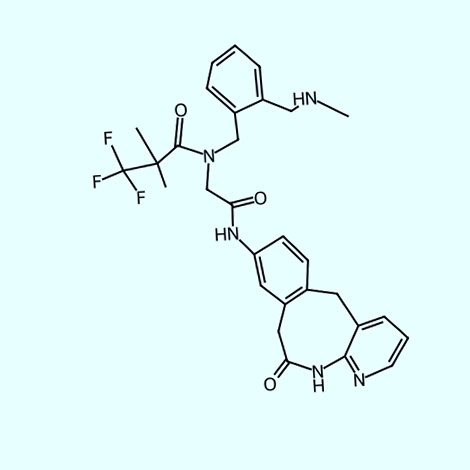 CNCc1ccccc1CN(CC(=O)Nc1ccc2c(c1)CC(=O)Nc1ncccc1C2)C(=O)C(C)(C)C(F)(F)F